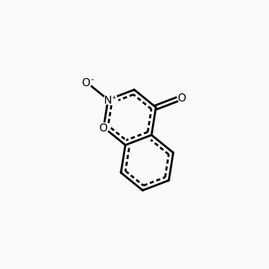 O=c1c[n+]([O-])oc2ccccc12